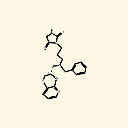 O=C1CNC(=O)N1CCCN(Cc1ccccc1)C[C@H]1COc2cccnc2O1